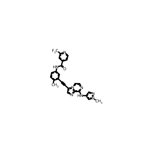 Cc1ccc(NC(=O)c2ccnc(C(F)(F)F)c2)cc1C#Cc1cnc2c(Nc3cnn(C)c3)nccn12